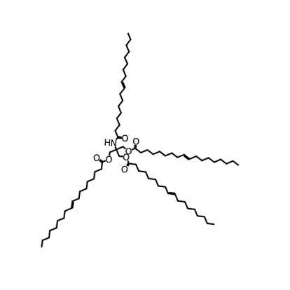 CCCCCCCCC=CCCCCCCCC(=O)NC(COC(=O)CCCCCCCC=CCCCCCCCC)(COC(=O)CCCCCCCC=CCCCCCCCC)COC(=O)CCCCCCCC=CCCCCCCCC